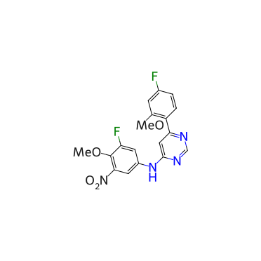 COc1cc(F)ccc1-c1cc(Nc2cc(F)c(OC)c([N+](=O)[O-])c2)ncn1